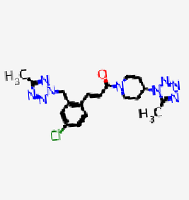 Cc1nnn(Cc2cc(Cl)ccc2C=CC(=O)N2CCC(n3nnnc3C)CC2)n1